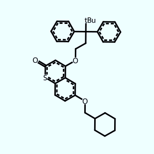 CC(C)(C)C(CCOc1cc(=O)sc2ccc(OCC3CCCCC3)cc12)(c1ccccc1)c1ccccc1